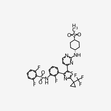 CS(=O)(=O)[C@H]1CC[C@H](Nc2nccc(-c3sc(C4(C(F)(F)F)CC4)nc3-c3cccc(NS(=O)(=O)c4c(F)cccc4F)c3F)n2)CC1